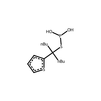 CCCCC(CCCC)(SP(O)O)c1cccs1